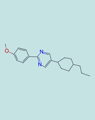 CCCC1CCC(c2cnc(-c3ccc(OC)cc3)nc2)CC1